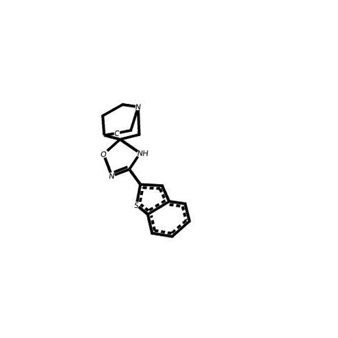 c1ccc2sc(C3=NOC4(CN5CCC4CC5)N3)cc2c1